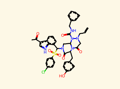 C=CCN1CC(=O)N2C(Cc3ccc(O)cc3)C(=O)N(C(c3cccc4c(C(C)=O)c[nH]c34)S(=O)(=O)c3ccc(Cl)cc3)CC2N1C(=O)NCc1ccccc1